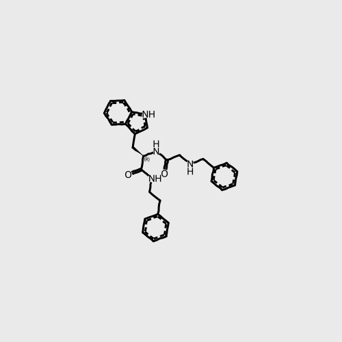 O=C(CNCc1ccccc1)N[C@H](Cc1c[nH]c2ccccc12)C(=O)NCCc1ccccc1